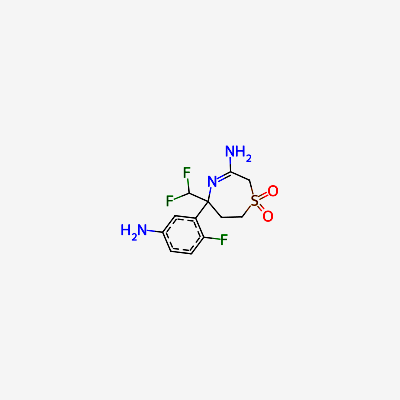 NC1=NC(c2cc(N)ccc2F)(C(F)F)CCS(=O)(=O)C1